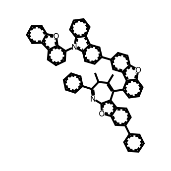 CC1=C(c2cccc3oc4ccc(-c5ccc6c(c5)c5ccccc5n6-c5cccc6c5oc5ccccc56)cc4c23)c2c(oc3cc(-c4ccccc4)ccc23)N=C(c2ccccc2)C1C